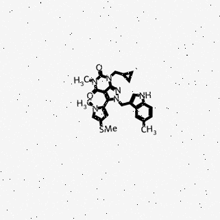 CSc1cc(-c2c3c(=O)n(C)c(=O)n(CC4CC4)c3nn2Cc2c[nH]c3ccc(C)cc23)n(C)c1